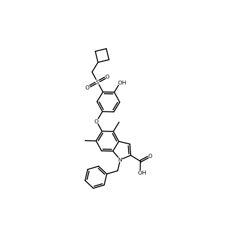 Cc1cc2c(cc(C(=O)O)n2Cc2ccccc2)c(C)c1Oc1ccc(O)c(S(=O)(=O)CC2CCC2)c1